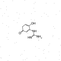 N=C(N)NC1=CC(=O)CC=C1O